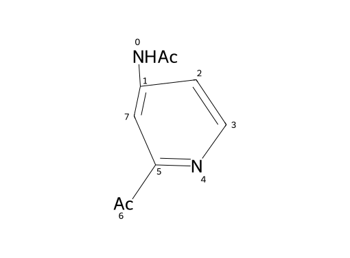 CC(=O)Nc1ccnc(C(C)=O)c1